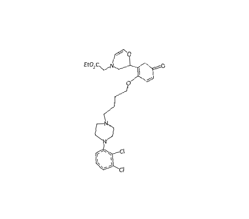 CCOC(=O)CN1C=COC(C2=C(OCCCCN3CCN(c4cccc(Cl)c4Cl)CC3)C=CC(=O)C2)C1